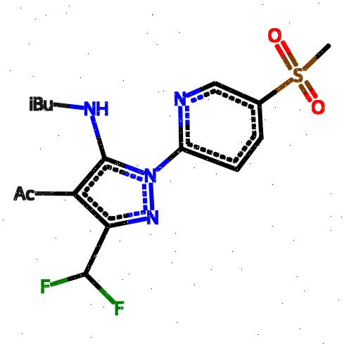 CCC(C)Nc1c(C(C)=O)c(C(F)F)nn1-c1ccc(S(C)(=O)=O)cn1